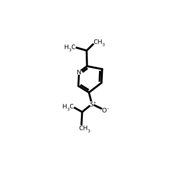 CC(C)c1ccc([S+]([O-])C(C)C)cn1